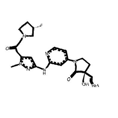 Cn1nc(Nc2cc(N3CC[C@](O)(C=N)C3=O)ccn2)cc1C(=O)N1CC[C@H](F)C1